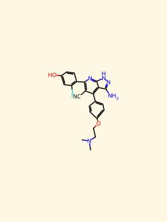 CN(C)CCOc1ccc(-c2c(C#N)c(-c3ccc(O)cc3F)nc3[nH]nc(N)c23)cc1